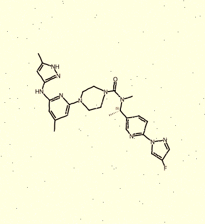 Cc1cc(Nc2cc(C)[nH]n2)nc(N2CCN(C(=O)N(C)[C@@H](C)c3ccc(-n4cc(F)cn4)nc3)CC2)c1